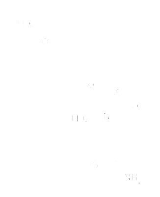 COc1cccc(CS(=O)(=O)N(C)CC(N)=S)c1